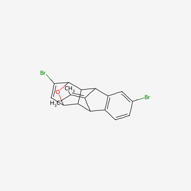 CC(C)=C1C2c3ccc(Br)cc3C1C1C3OC(C=C3Br)C21